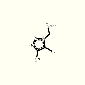 CCCCCCn1nnc(C#N)c1F